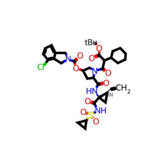 C=C[C@@H]1C[C@]1(NC(=O)C1CC(OC(=O)N2Cc3cccc(Cl)c3C2)CN1C(=O)C(C(=O)OC(C)(C)C)C1CCCCC1)C(=O)NS(=O)(=O)C1CC1